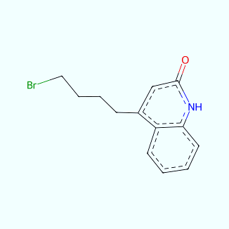 O=c1cc(CCCCBr)c2ccccc2[nH]1